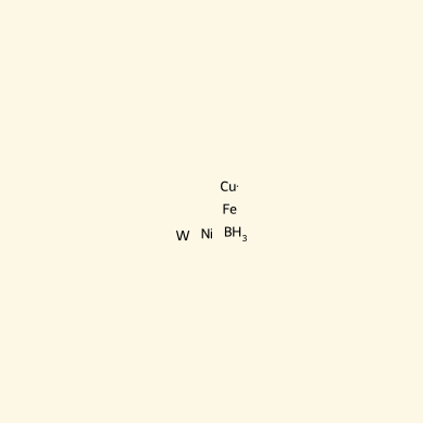 B.[Cu].[Fe].[Ni].[W]